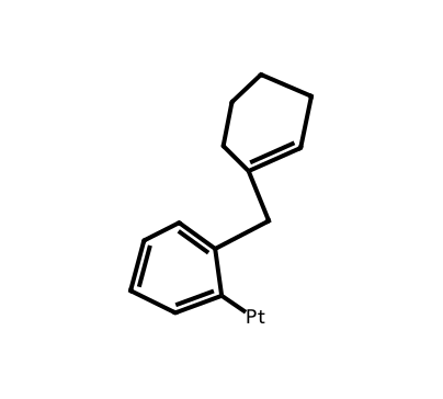 [Pt][c]1ccccc1CC1=CCCCC1